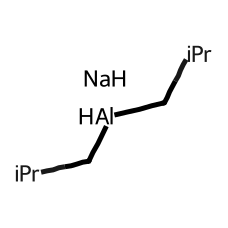 CC(C)[CH2][AlH][CH2]C(C)C.[NaH]